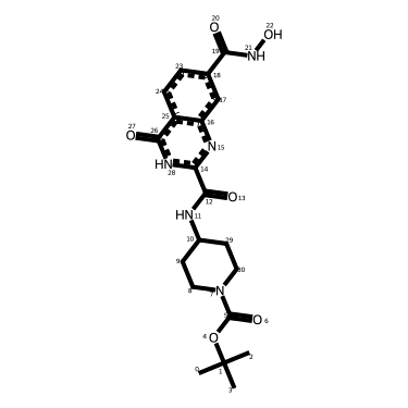 CC(C)(C)OC(=O)N1CCC(NC(=O)c2nc3cc(C(=O)NO)ccc3c(=O)[nH]2)CC1